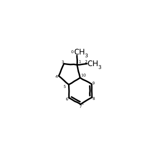 CC1(C)CCC2C=[C]C=CC21